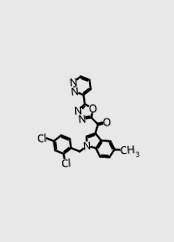 Cc1ccc2c(c1)c(C(=O)c1nnc(-c3cccnn3)o1)cn2Cc1ccc(Cl)cc1Cl